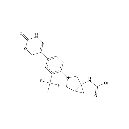 O=C(O)NC12CC1CN(c1ccc(C3=NNC(=O)OC3)cc1C(F)(F)F)C2